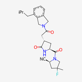 CC(C)Cc1cccc2c1CN(C(=O)C[C@@H]1C[C@@H](C(=O)N3CC(C)(F)C[C@H]3C#N)NC1=O)C2